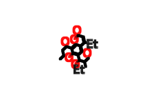 CCOC1c2c3c(c4oc(=O)cc(CC)c4c2OCC1C)C(=O)CC(C)O3